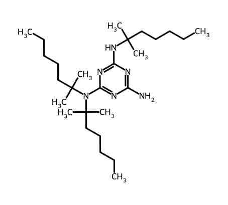 CCCCCC(C)(C)Nc1nc(N)nc(N(C(C)(C)CCCCC)C(C)(C)CCCCC)n1